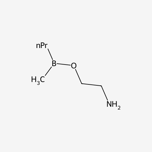 CCCB(C)OCCN